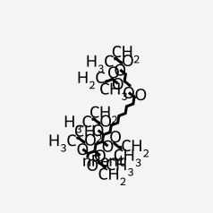 C=C(C)C(=O)OCC(COC(=O)CCCCCCCC(OC(=O)C(=C)C)C(CC(OC(=O)C(=C)C)C(CCCCC)OC(=O)C(=C)C)OC(=O)C(=C)C)OC(=O)C(=C)C